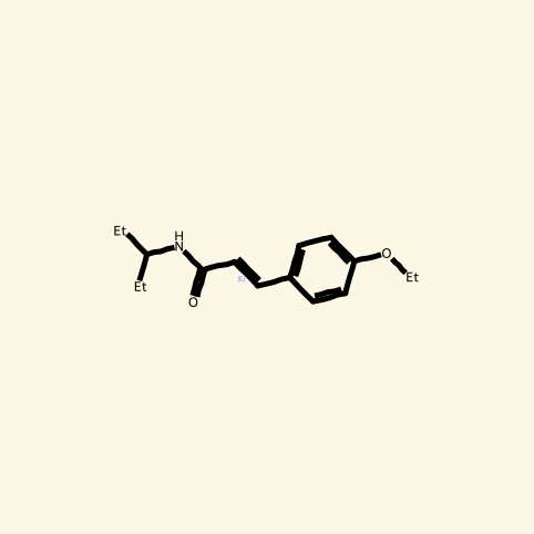 CCOc1ccc(/C=C/C(=O)NC(CC)CC)cc1